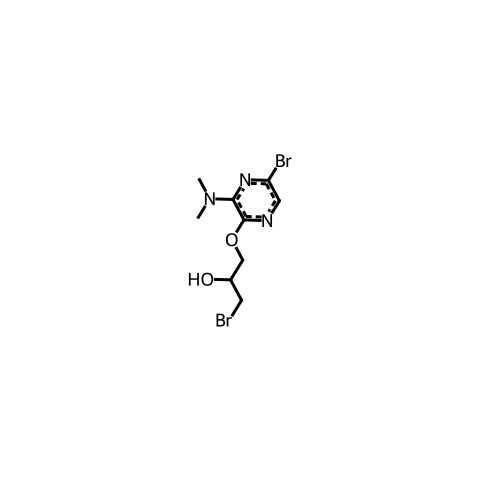 CN(C)c1nc(Br)cnc1OCC(O)CBr